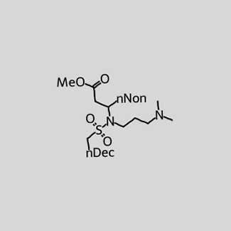 CCCCCCCCCCCS(=O)(=O)N(CCCN(C)C)C(CCCCCCCCC)CC(=O)OC